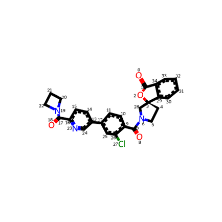 O=C1O[C@]2(CCN(C(=O)c3ccc(-c4ccc(C(=O)N5CCC5)nc4)cc3Cl)C2)c2ccccc21